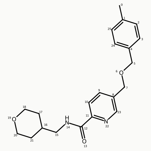 Cc1ccc(COCc2ccc(C(=O)NCC3CCOCC3)nc2)cc1